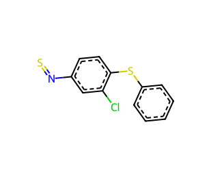 S=Nc1ccc(Sc2ccccc2)c(Cl)c1